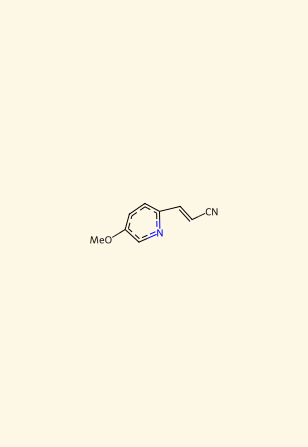 COc1ccc(/C=C/C#N)nc1